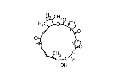 CC1=C\[C@@H](O)C[C@@H](F)Cc2nc(co2)C(=O)N2CCC=C2C(=O)OC(C(C)C)[C@H](C)/C=C/C(=O)NC\C=C\1